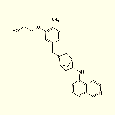 Cc1ccc(CN2CC3CC2CC3Nc2cccc3cnccc23)cc1OCCO